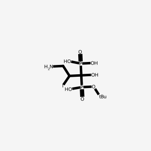 CC(C)(C)OP(=O)(O)C(O)(C(I)CN)P(=O)(O)O